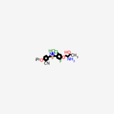 CC(C)Oc1ccc(-c2nnc(-c3cc(F)c(OC[C@H](N)[C@H](C)O)cc3Cl)s2)cc1C#N.Cl